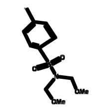 [CH2]c1ccc(S(=O)(=O)N(COC)COC)cc1